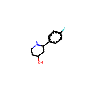 OC1CCNC(c2ccc(F)cc2)C1